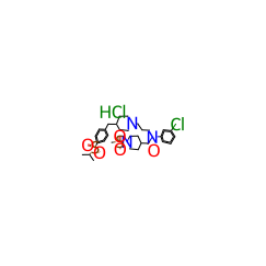 CC(C)S(=O)(=O)c1ccc(CC2CCN(CCCN(C(=O)C3CCN(S(C)(=O)=O)CC3)c3cccc(Cl)c3)CC2)cc1.Cl